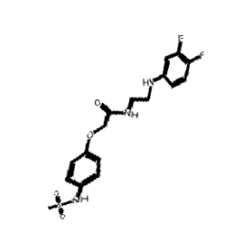 CS(=O)(=O)Nc1ccc(OCC(=O)NCCNc2ccc(F)c(F)c2)cc1